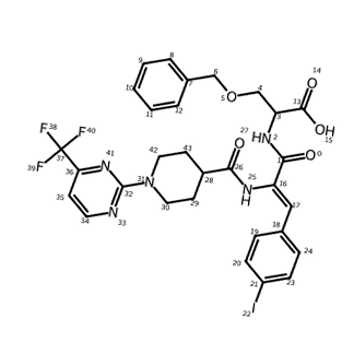 O=C(NC(COCc1ccccc1)C(=O)O)C(=Cc1ccc(I)cc1)NC(=O)C1CCN(c2nccc(C(F)(F)F)n2)CC1